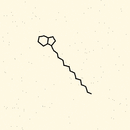 CCCCCCCCCCCCCCC1CCC2CCCCC12